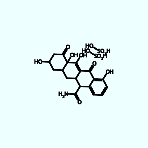 NC(=O)C1c2cccc(O)c2C(=O)C2=C(O)C3(O)C(=O)CC(O)CC3CC21.O=S(=O)(O)O.O=S(=O)(O)O